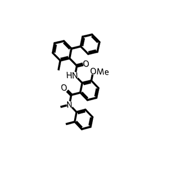 COc1cccc(C(=O)N(C)c2ccccc2C)c1NC(=O)c1c(C)cccc1-c1ccccc1